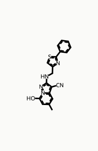 Cc1cc(O)n2nc(NCc3csc(-c4ccccc4)n3)c(C#N)c2c1